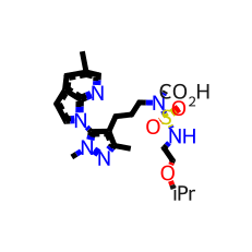 Cc1cnc2c(ccn2-c2c(CCCN(C(=O)O)S(=O)(=O)NCCOC(C)C)c(C)nn2C)c1